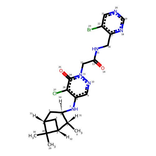 C[C@@H]1[C@H]2C[C@@H](C[C@H]1Nc1cnn(CC(=O)NCc3ncncc3Br)c(=O)c1Cl)C2(C)C